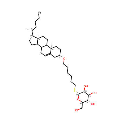 CC(C)CCC[C@@H](C)[C@H]1CCC2C3CC=C4C[C@@H](OCCCCCCS[C@H]5O[C@H](CO)[C@@H](O)[C@H](O)[C@@H]5O)CC[C@]4(C)C3CC[C@@]21C